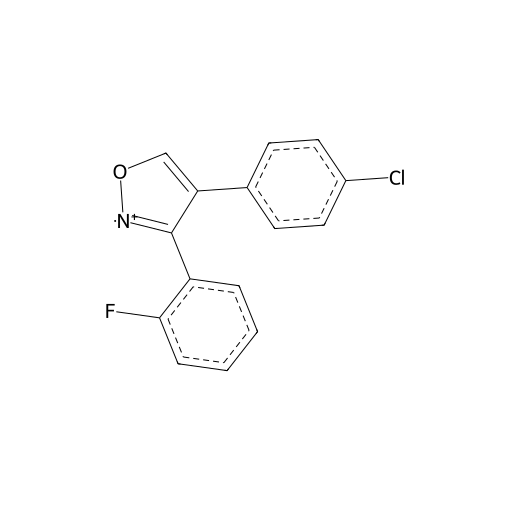 Fc1ccccc1C1=[N+]OC=C1c1ccc(Cl)cc1